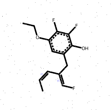 C/C=C\C(=C\F)Cc1cc(OCC)c(F)c(F)c1O